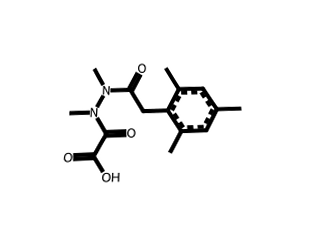 Cc1cc(C)c(CC(=O)N(C)N(C)C(=O)C(=O)O)c(C)c1